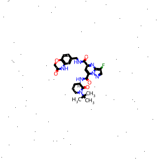 CC(C)(C)N1CCC[C@H](NC(=O)c2cc(C(=O)NCc3ccc4c(c3)NC(=O)CO4)nc3c(F)cnn23)C1=O